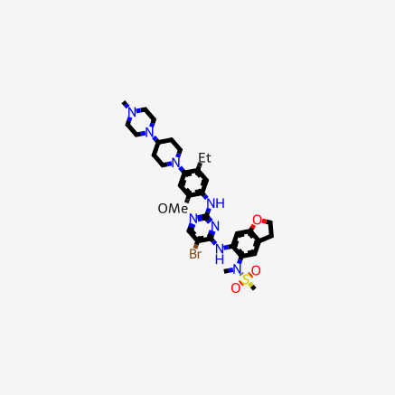 CCc1cc(Nc2ncc(Br)c(Nc3cc4c(cc3N(C)S(C)(=O)=O)CCO4)n2)c(OC)cc1N1CCC(N2CCN(C)CC2)CC1